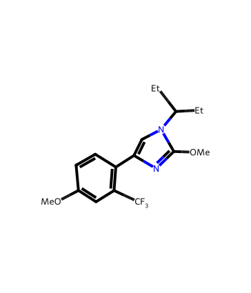 CCC(CC)n1cc(-c2ccc(OC)cc2C(F)(F)F)nc1OC